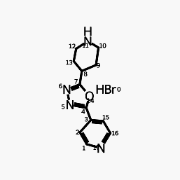 Br.c1cc(-c2nnc(C3CCNCC3)o2)ccn1